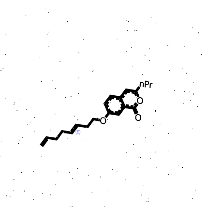 C=CCC/C=C/CCOc1ccc2cc(CCC)oc(=O)c2c1